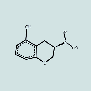 CCCN(C(C)C)[C@H]1COc2cccc(O)c2C1